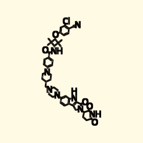 CC1(C)[C@H](NC(=O)c2ccc(N3CCC(CN4CCN(c5ccc6c7c([nH]c6c5)C(=O)N(C5CCC(=O)NC5=O)C7)CC4)CC3)cc2)C(C)(C)[C@H]1Oc1ccc(C#N)c(Cl)c1